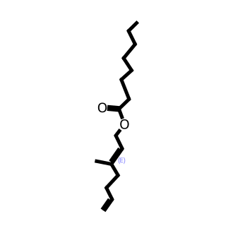 C=CCC/C(C)=C/COC(=O)CCCCCCC